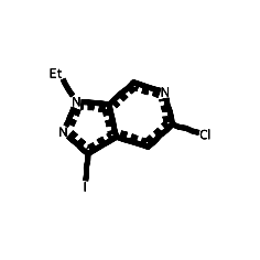 CCn1nc(I)c2cc(Cl)ncc21